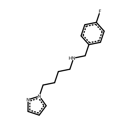 Fc1ccc(CNCCCCn2cccn2)cc1